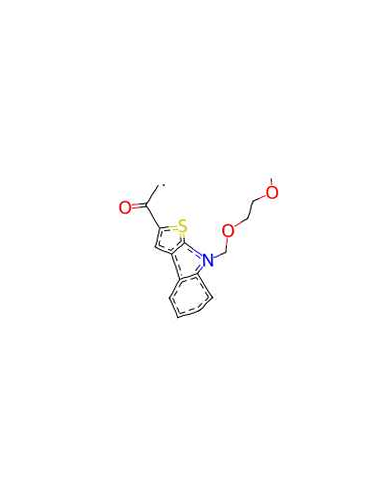 [CH2]C(=O)c1cc2c3ccccc3n(COCCOC)c2s1